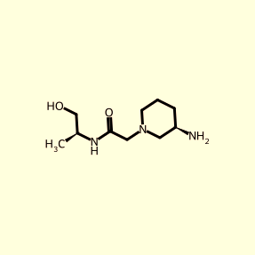 C[C@@H](CO)NC(=O)CN1CCC[C@@H](N)C1